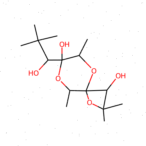 CC1OC2(OC(C)(C)C2O)C(C)OC1(O)C(O)C(C)(C)C